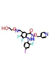 O=C(NOCc1ccncc1)c1cc(/C=N/OCCO)c(F)c(F)c1Nc1ccc(I)cc1F